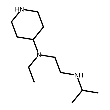 CCN(CCNC(C)C)C1CCNCC1